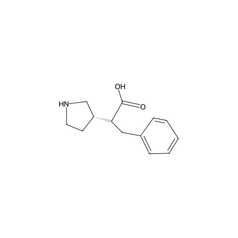 O=C(O)C(Cc1ccccc1)[C@@H]1CCNC1